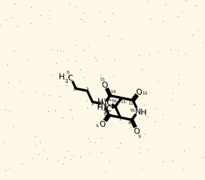 CCCCN1C(=O)C2C(=O)NC(=O)C(C1=O)C2(C)C